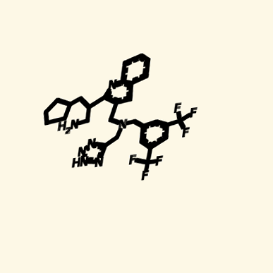 NCC(CC1CCCC1)c1nc2ccccc2cc1CN(Cc1cc(C(F)(F)F)cc(C(F)(F)F)c1)Cc1nn[nH]n1